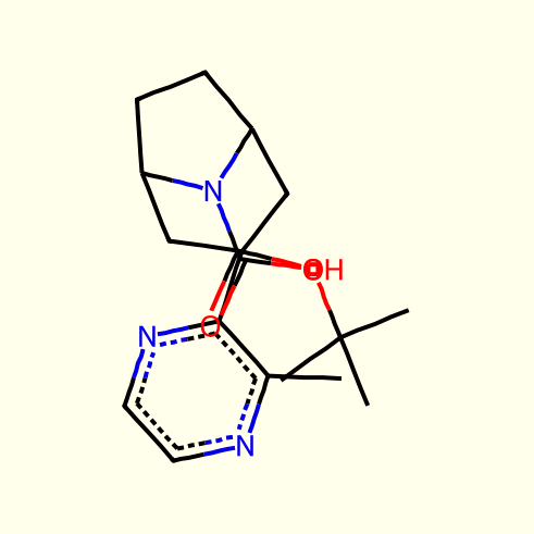 Cc1nccnc1C1(O)CC2CCC(C1)N2C(=O)OC(C)(C)C